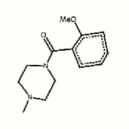 COc1c[c]ccc1C(=O)N1CCN(C)CC1